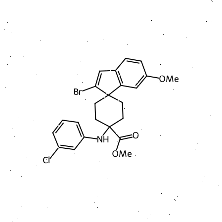 COC(=O)C1(Nc2cccc(Cl)c2)CCC2(CC1)C(Br)=Cc1ccc(OC)cc12